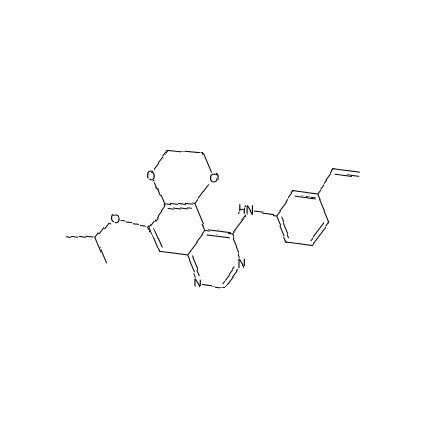 C=Cc1cccc(Nc2ncnc3cc(OC(C)C)c4c(c23)OCCO4)c1